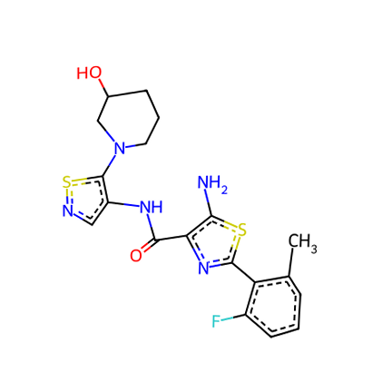 Cc1cccc(F)c1-c1nc(C(=O)Nc2cnsc2N2CCCC(O)C2)c(N)s1